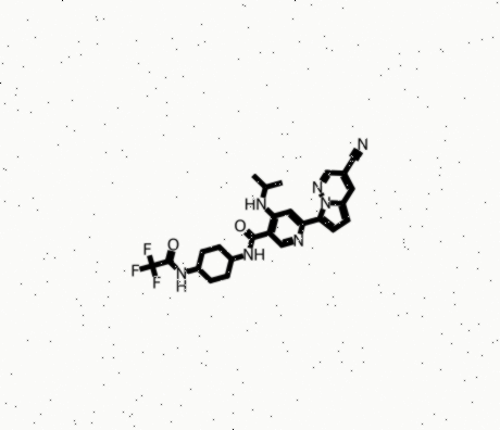 CC(C)Nc1cc(-c2ccc3cc(C#N)cnn23)ncc1C(=O)NC1CCC(NC(=O)C(F)(F)F)CC1